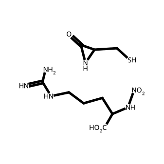 N=C(N)NCCCC(N[N+](=O)[O-])C(=O)O.O=C1NC1CS